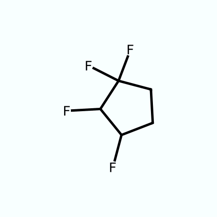 FC1CCC(F)(F)C1F